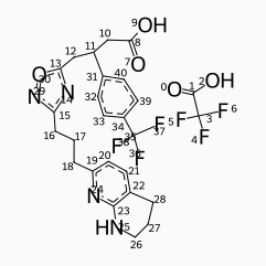 O=C(O)C(F)(F)F.O=C(O)CC(Cc1nc(CCCc2ccc3c(n2)NCCC3)no1)c1ccc(C(F)(F)F)cc1